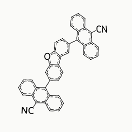 N#Cc1c2ccccc2c(-c2ccc3c(c2)oc2ccc(-c4c5ccccc5c(C#N)c5ccccc45)cc23)c2ccccc12